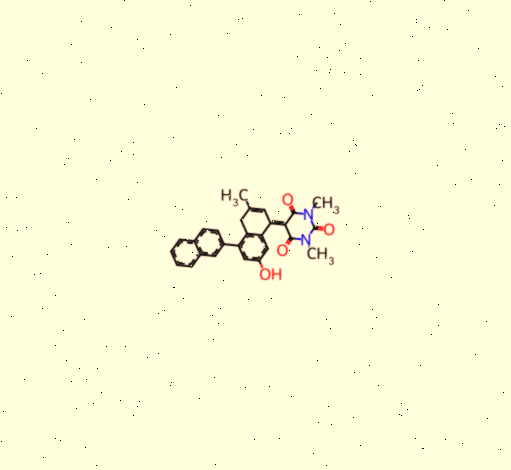 CC1=CC(=C2C(=O)N(C)C(=O)N(C)C2=O)c2cc(O)cc(-c3ccc4ccccc4c3)c2C1